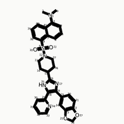 CN(C)c1cccc2c(S(=O)(=O)N3CCC(c4nc(-c5ccc6c(c5)OCO6)c(-c5ccccn5)[nH]4)CC3)cccc12